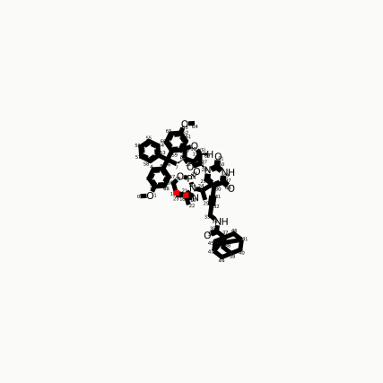 COc1ccc(C(C[C@]23CO[C@@H](C2OP(OCCC#N)N(C(C)C)C(C)C)[C@H](n2cc(C#CCNC(=O)C45CC6CC(CC(C6)C4)C5)c(=O)[nH]c2=O)O3)(c2ccccc2)c2ccc(OC)cc2)cc1